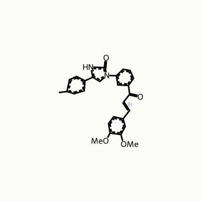 COc1ccc(/C=C/C(=O)c2cccc(-n3cc(-c4ccc(C)cc4)[nH]c3=O)c2)cc1OC